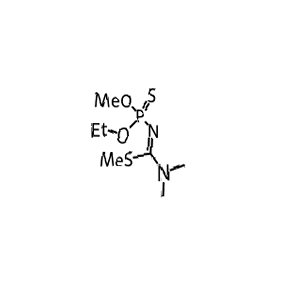 CCOP(=S)(/N=C(\SC)N(C)C)OC